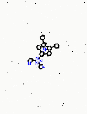 c1ccc(-c2ccc3c(c2)c2cc(-c4ccccc4)ccc2n3-c2c(-c3ccccc3)cc(-c3nc(-c4cccnc4)nc(-c4cccnc4)n3)cc2-c2ccccc2)cc1